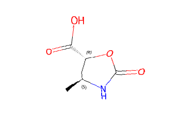 C[C@@H]1NC(=O)O[C@H]1C(=O)O